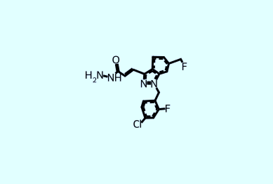 NNC(=O)C=Cc1nn(Cc2ccc(Cl)cc2F)c2cc(CF)ccc12